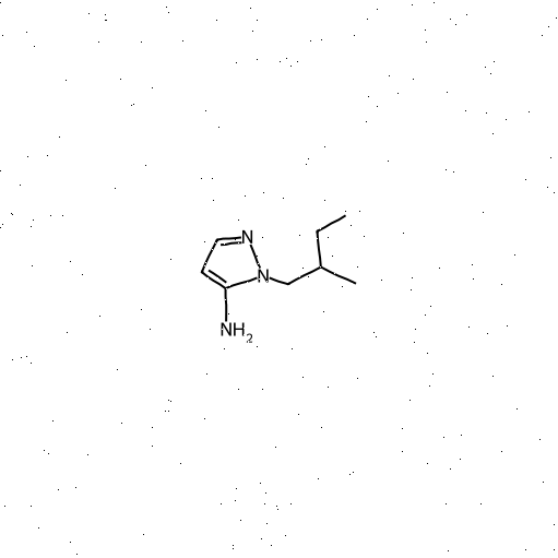 CCC(C)Cn1nccc1N